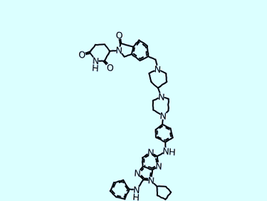 O=C1CCC(N2Cc3cc(CN4CCC(N5CCN(c6ccc(Nc7ncc8nc(Nc9ccccc9)n(C9CCCC9)c8n7)cc6)CC5)CC4)ccc3C2=O)C(=O)N1